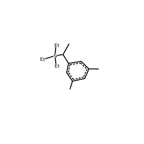 CC[Si](CC)(CC)C(C)c1cc(C)cc(C)c1